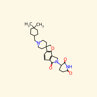 CC1(C)CCC(CN2CCC3(CC2)COc2c3ccc3c2CN(C2CCC(=O)NC2=O)C3=O)CC1